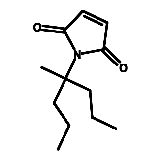 CCCC(C)(CCC)N1C(=O)C=CC1=O